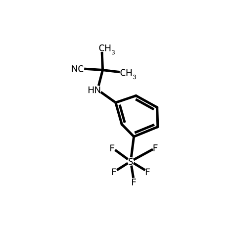 CC(C)(C#N)Nc1cccc(S(F)(F)(F)(F)F)c1